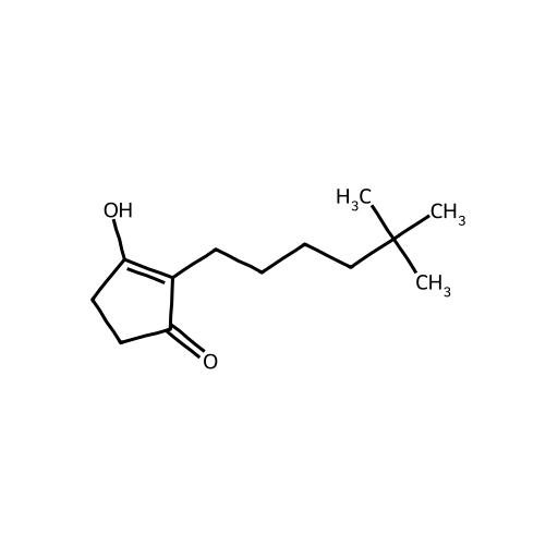 CC(C)(C)CCCCC1=C(O)CCC1=O